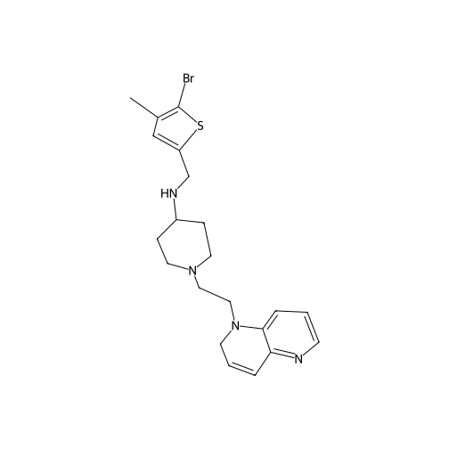 Cc1cc(CNC2CCN(CCN3CC=Cc4ncccc43)CC2)sc1Br